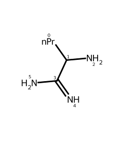 CCCC(N)C(=N)N